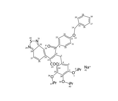 CC(C)Oc1cc(CC(C(=O)c2ccc(OCc3ccccc3)cc2)=C(C(=O)[O-])c2ccc3nsnc3c2)cc(OC(C)C)c1OC(C)C.[Na+]